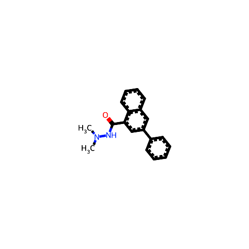 CN(C)NC(=O)c1cc(-c2ccccc2)cc2ccccc12